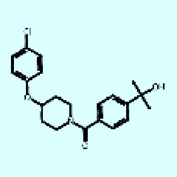 CC(C)(O)c1ccc(C(=O)N2CCC(Oc3ccc(Cl)cc3)CC2)cc1